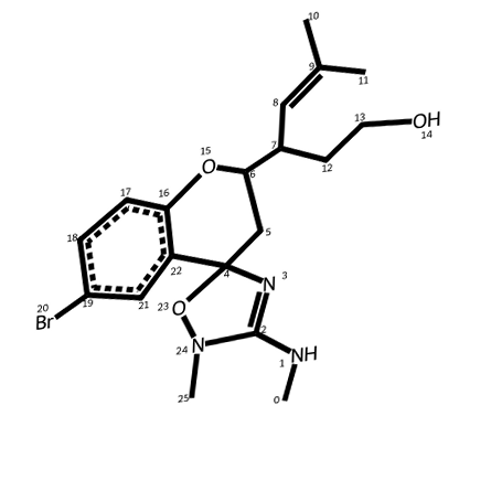 CNC1=NC2(CC(C(C=C(C)C)CCO)Oc3ccc(Br)cc32)ON1C